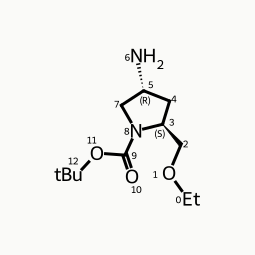 CCOC[C@@H]1C[C@@H](N)CN1C(=O)OC(C)(C)C